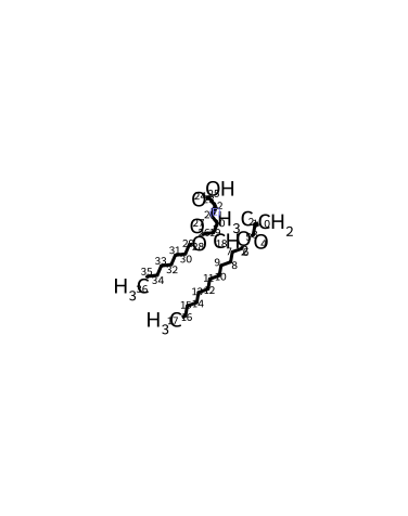 C=C(C)C(=O)OCCCCCCCCCCCC.C=C(C/C=C/C(=O)O)C(=O)OCCCCCCCC